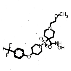 COCCN1CCC(C(=O)NO)(S(=O)(=O)N2CCC(Oc3ccc(C(F)(F)F)cc3)CC2)CC1